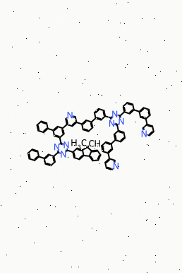 CC1(C)c2ccccc2-c2ccc(-c3nc(-c4cccc(-c5ccccc5)c4)nc(-c4cc(-c5ccccc5)cc(-c5cncc(-c6cccc(-c7cccc(-c8nc(-c9cccc(-c%10cccc(-c%11cccnc%11)c%10)c9)nc(-c9cccc(-c%10cccc(-c%11cccnc%11)c%10)c9)n8)c7)c6)c5)c4)n3)cc21